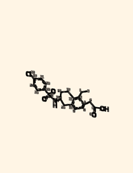 CCc1c(CC(=O)O)ccc2c1CCC(NS(=O)(=O)c1ccc(Cl)cc1)C2